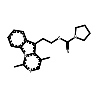 Cc1cnc(C)n2c1c(CCSC(=S)N1CCCC1)c1ccccc12